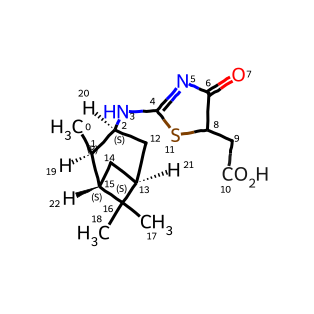 C[C@H]1[C@@H](NC2=NC(=O)C(CC(=O)O)S2)C[C@@H]2C[C@@H]1C2(C)C